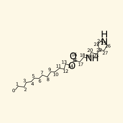 CCCCCCCCCCCCCCOC(=O)CCNCCC1CCNCC1